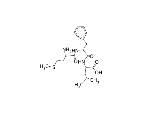 CSCCC(N)C(=O)NC(Cc1ccccc1)C(=O)NC(CC(C)C)C(=O)O